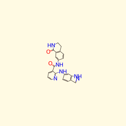 O=C1NCCc2ccc(NC(=O)c3cccnc3Nc3ccc4cn[nH]c4c3)cc21